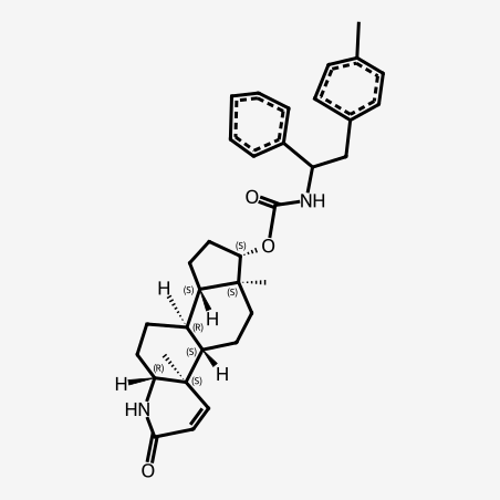 Cc1ccc(CC(NC(=O)O[C@H]2CC[C@H]3[C@@H]4CC[C@H]5NC(=O)C=C[C@]5(C)[C@H]4CC[C@]23C)c2ccccc2)cc1